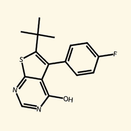 CC(C)(C)c1sc2ncnc(O)c2c1-c1ccc(F)cc1